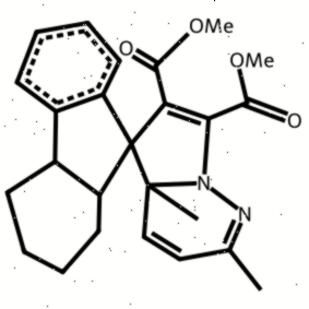 COC(=O)C1=C(C(=O)OC)C2(c3ccccc3C3CCCCC32)C2(C)C=CC(C)=NN12